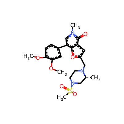 COc1ccc(-c2cn(C)c(=O)c3cc(CN4CCN(S(C)(=O)=O)C[C@H]4C)oc23)cc1OC